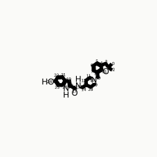 CC1(C)Cc2cccc(CN3CCC(CNC(=O)c4cc5ccc(O)cc5[nH]4)CC3)c2O1